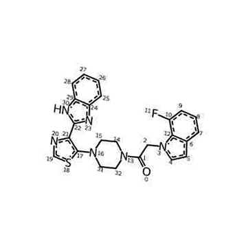 O=C(Cn1ccc2cccc(F)c21)N1CCN(c2scnc2-c2nc3ccccc3[nH]2)CC1